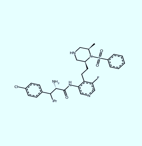 CC(C)C(c1ccc(Cl)cc1)[C@H](N)C(=O)Nc1cncc(F)c1CC[C@H]1CNC[C@@H](C)N1S(=O)(=O)c1ccccc1